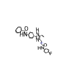 C=Cc1[nH]c(-c2ccc(NC(=O)c3ccccc3)cc2)nc1/C=C/C(=O)Nc1ccc(F)cc1